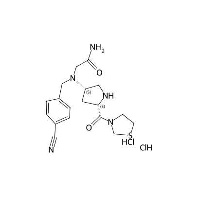 Cl.Cl.N#Cc1ccc(CN(CC(N)=O)[C@@H]2CN[C@H](C(=O)N3CCSC3)C2)cc1